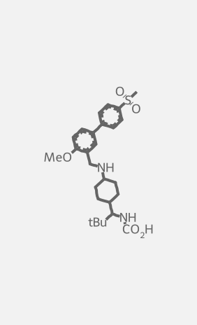 COc1ccc(-c2ccc(S(C)(=O)=O)cc2)cc1CNC1CCC(C(NC(=O)O)C(C)(C)C)CC1